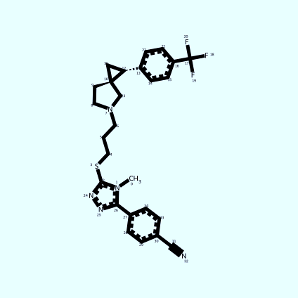 Cn1c(SCCCN2CC[C@]3(C[C@@H]3c3ccc(C(F)(F)F)cc3)C2)nnc1-c1ccc(C#N)cc1